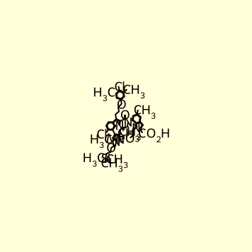 COCCn1c(C(=O)O)cc2cc(C)cc(N3C[C@@H](C)n4c(c(CCCOc5cc(C)c(Cl)c(C)c5)c5ccc(Cl)c(-c6c(C)nn(COCC[Si](C)(C)C)c6C)c54)C3=O)c21